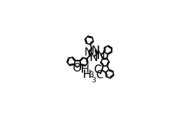 CC1(C)c2ccccc2-c2cc3c4ccccc4n(-c4nc(-c5ccccc5)nc(-c5ccc6oc7ccccc7c6c5)n4)c3cc21